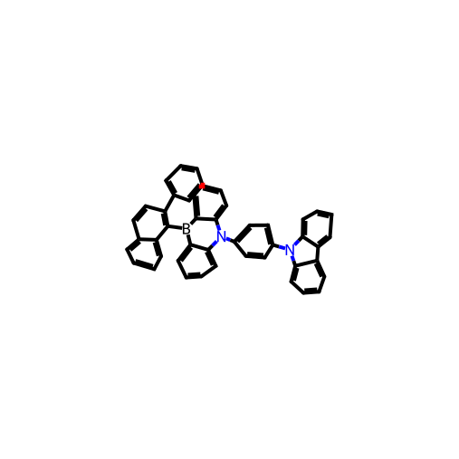 c1ccc(-c2ccc3ccccc3c2B2c3ccccc3N(c3ccc(-n4c5ccccc5c5ccccc54)cc3)c3ccccc32)cc1